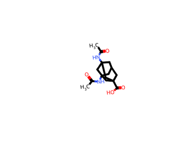 CC(=O)NC12CC3CC(NC(C)=O)(C1)CC(C(=O)O)(C3)C2